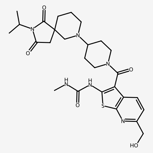 CNC(=O)Nc1sc2nc(CO)ccc2c1C(=O)N1CCC(N2CCCC3(CC(=O)N(C(C)C)C3=O)C2)CC1